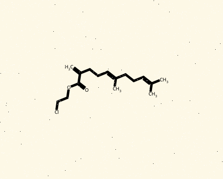 C=C(CC/C=C(\C)CCC=C(C)C)C(=O)OCCCl